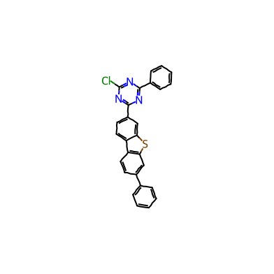 Clc1nc(-c2ccccc2)nc(-c2ccc3c(c2)sc2cc(-c4ccccc4)ccc23)n1